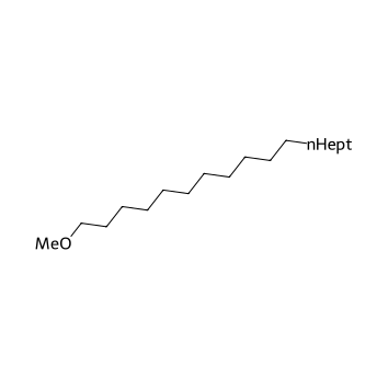 [CH2]OCCCCCCCCCCCCCCCCCC